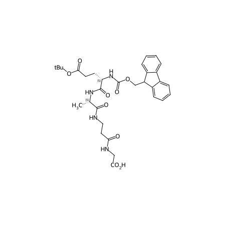 C[C@H](NC(=O)[C@H](CCC(=O)OC(C)(C)C)NC(=O)OCC1c2ccccc2-c2ccccc21)C(=O)NCCC(=O)NCC(=O)O